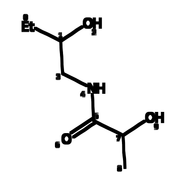 CCC(O)CNC(=O)C(C)O